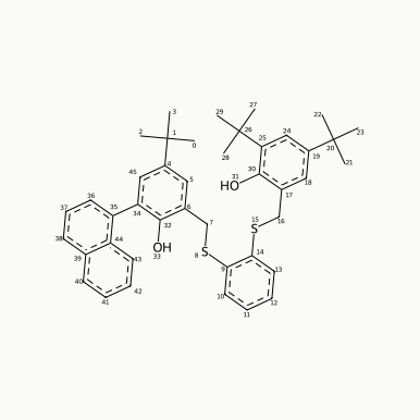 CC(C)(C)c1cc(CSc2ccccc2SCc2cc(C(C)(C)C)cc(C(C)(C)C)c2O)c(O)c(-c2cccc3ccccc23)c1